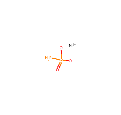 O=P([O-])([O-])P.[Ni+2]